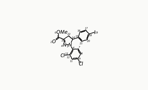 COC(=O)C1=NN(c2ccc(Cl)cc2Cl)C(c2ccc(I)cc2)C1